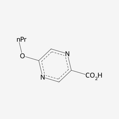 CCCOc1cnc(C(=O)O)cn1